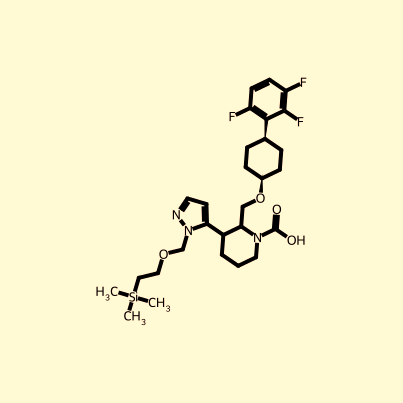 C[Si](C)(C)CCOCn1nccc1C1CCCN(C(=O)O)C1CO[C@H]1CC[C@@H](c2c(F)ccc(F)c2F)CC1